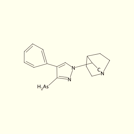 [AsH2]c1nn(C2CN3CCC2CC3)cc1-c1ccccc1